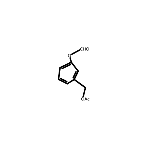 CC(=O)OCc1cccc(OC=O)c1